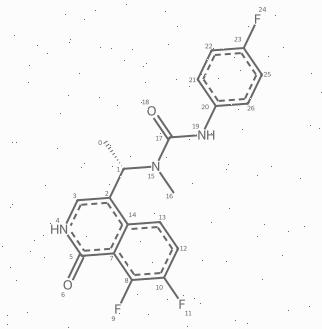 C[C@@H](c1c[nH]c(=O)c2c(F)c(F)ccc12)N(C)C(=O)Nc1ccc(F)cc1